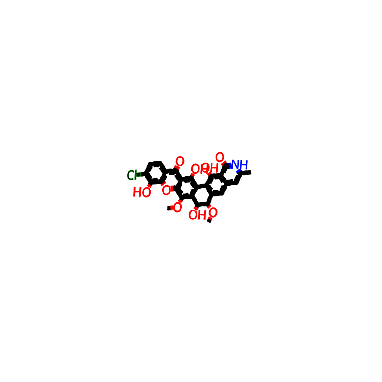 COc1c2c(c(O)c3c(=O)c4ccc(Cl)c(O)c4oc13)-c1c(cc3cc(C)[nH]c(=O)c3c1O)C(OC)C2O